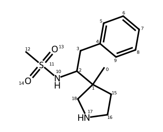 CC1(C(Cc2ccccc2)NS(C)(=O)=O)CCNC1